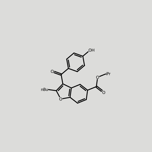 CCCCc1oc2ccc(C(=O)OC(C)C)cc2c1C(=O)c1ccc(O)cc1